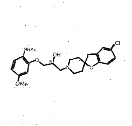 COc1ccc(NC(C)=O)c(OC[C@@H](O)CN2CCC3(CC2)Cc2cc(Cl)ccc2O3)c1